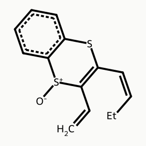 C=CC1=C(/C=C\CC)Sc2ccccc2[S+]1[O-]